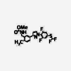 COC(=O)NCc1cc(-c2ccn(-c3c(F)cc(SC(F)F)cc3F)n2)ccc1C